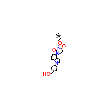 C[Si](C)(C)CCOCN1C(=O)CCN(c2cccc3c2ccn3[C@H]2CC[C@H](CO)CC2)C1=O